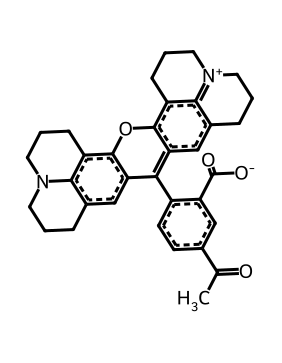 CC(=O)c1ccc(C2=c3cc4c5c(c3Oc3c2cc2c6c3CCCN6CCC2)CCC[N+]=5CCC4)c(C(=O)[O-])c1